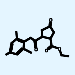 CCOC(=O)C1CC(=O)CC1C(=O)Cc1c(C)cc(C)cc1C